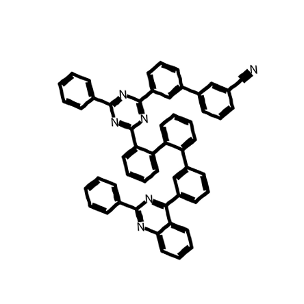 N#Cc1cccc(-c2cccc(-c3nc(-c4ccccc4)nc(-c4ccccc4-c4ccccc4-c4cccc(-c5nc(-c6ccccc6)nc6ccccc56)c4)n3)c2)c1